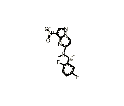 C[C@H](c1cc(F)ccc1F)N(C)c1ccn2ncc([N+](=O)[O-])c2n1